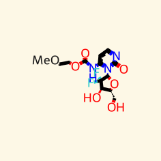 COCCOC(=O)Nc1ccnc(=O)n1[C@@H]1O[C@H](CO)[C@@H](O)C1(F)F